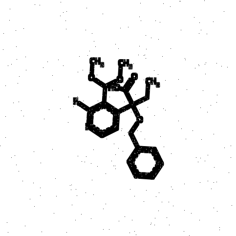 CCC(OCc1ccccc1)(C(=O)O)c1ccnc(F)c1C(OC)OC